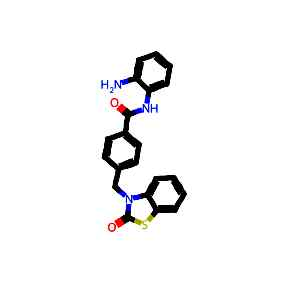 Nc1ccccc1NC(=O)c1ccc(Cn2c(=O)sc3ccccc32)cc1